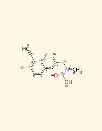 C#Cc1c(F)ccc2cc(CN(C)C(=O)O)ccc12